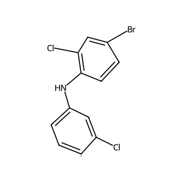 Clc1[c]ccc(Nc2ccc(Br)cc2Cl)c1